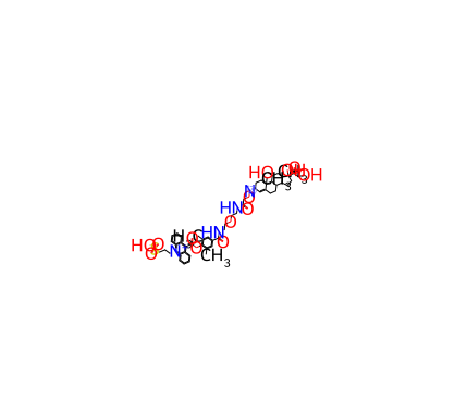 Cc1cc(C(=O)NCCOCCNC(=O)CO/N=C2\C=C3CCC4C(C(O)CC5(C)C4CCC5(O)C(=O)CO)C3(C)CC2)cc(C)c1OC(=O)c1c2ccccc2[n+](CCCS(=O)(=O)O)c2ccccc12